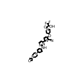 N#Cc1nc(-c2ccnc(Nc3ccc(N4CCN(C5COC5)CC4)cc3)n2)ccc1OC1CCN(C(=O)[C@H](O)C(F)F)CC1